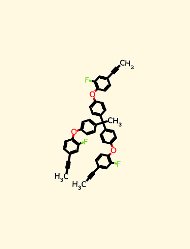 CC#Cc1ccc(Oc2ccc(C(C)(c3ccc(Oc4ccc(C#CC)cc4F)cc3)c3ccc(Oc4ccc(C#CC)cc4F)cc3)cc2)c(F)c1